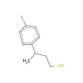 CC(CCS)c1ccc(I)cc1